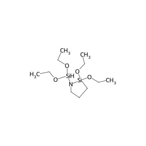 CCO[SiH](OCC)N1CCC[Si]1(OCC)OCC